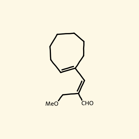 COC/C(C=O)=C\C1=C\CCCCCC1